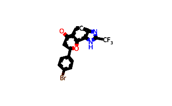 O=c1cc(-c2ccc(Br)cc2)oc2c1ccc1nc(C(F)(F)F)[nH]c12